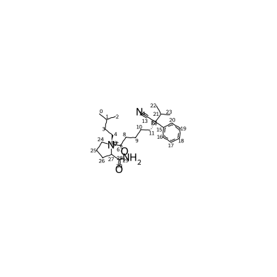 CC(C)CC[N@+]1(C(=O)CCCC[C@@](C#N)(c2ccccc2)C(C)C)CCCC1C(N)=O